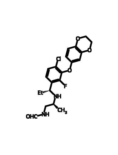 CC[C@@H](N[C@@H](C)CNC=O)c1ccc(Cl)c(Oc2ccc3c(c2)OCCO3)c1F